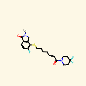 [2H]N1Cc2c(ccc(F)c2SCCCCCCC(=O)N2CCC(F)(F)CC2)C1=O